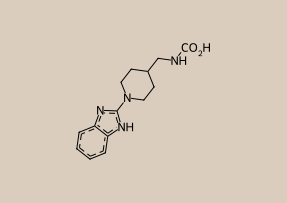 O=C(O)NCC1CCN(c2nc3ccccc3[nH]2)CC1